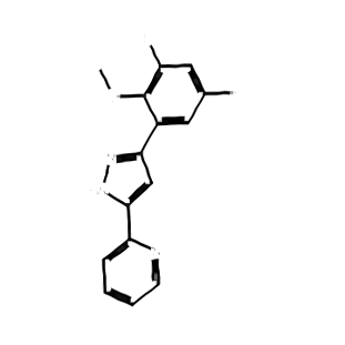 COc1c(F)cc(F)cc1-c1cc(-c2ccccn2)[nH]n1